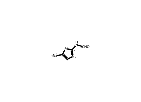 CC(C)(C)c1cnc(NC=O)s1